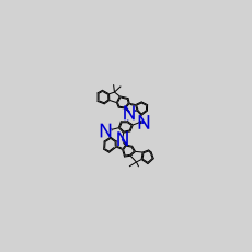 CC1(C)c2ccccc2-c2cc3c(cc21)c1ccccc1n3-c1cc(C#N)c(-n2c3ccccc3c3cc4c(cc32)-c2ccccc2C4(C)C)cc1C#N